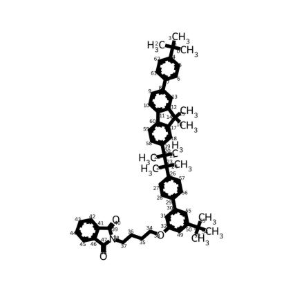 CC(C)(C)c1ccc(-c2ccc3c(c2)C(C)(C)c2cc(C(C)(C)C(C)(C)c4ccc(-c5cc(OCCCCN6C(=O)c7ccccc7C6=O)cc(C(C)(C)C)c5)cc4)ccc2-3)cc1